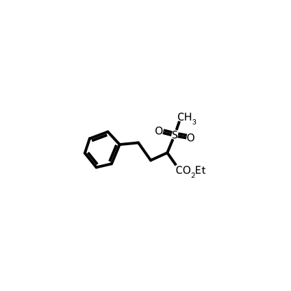 CCOC(=O)C(CCc1ccccc1)S(C)(=O)=O